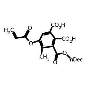 C=CC(=O)Oc1cc(C(=O)O)c(C(=O)O)c(C(=O)OCCCCCCCCCC)c1C